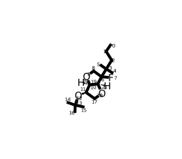 CCCC(C)(C)C1(F)CO[C@@H]2[C@H](OC(C)(C)C)CO[C@@H]21